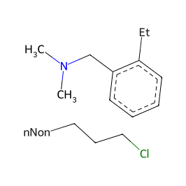 CCCCCCCCCCCCCl.CCc1ccccc1CN(C)C